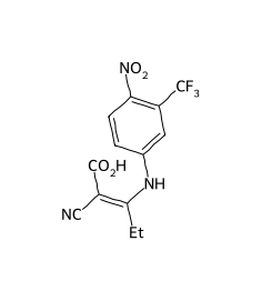 CCC(Nc1ccc([N+](=O)[O-])c(C(F)(F)F)c1)=C(C#N)C(=O)O